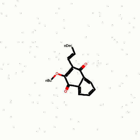 CCCCCCCCCCC=CC1=C(OCCCC)C(=O)c2ccccc2C1=O